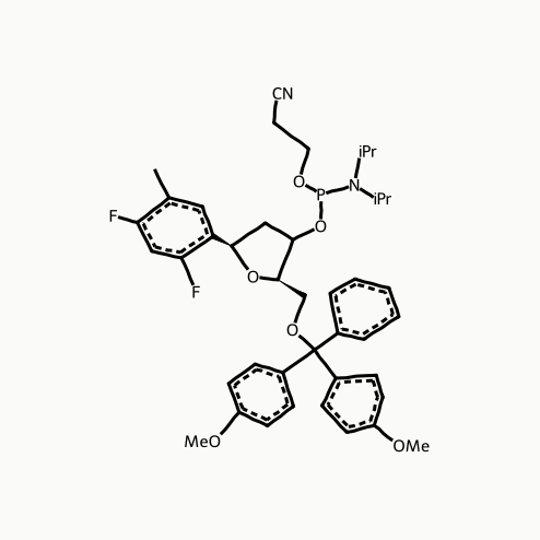 COc1ccc(C(OC[C@H]2O[C@@H](c3cc(C)c(F)cc3F)CC2OP(OCCC#N)N(C(C)C)C(C)C)(c2ccccc2)c2ccc(OC)cc2)cc1